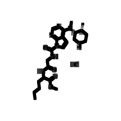 CCCCC(NC(=O)CNC(=O)n1ccc2c(N(C)[C@H]3CNCC[C@H]3C)ncnc21)C(=O)OC.Cl